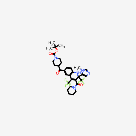 Cn1cncc1C1(C(F)(F)F)Nc2ccc(C(=O)C3CCN(C(=O)OC(C)(C)C)CC3)cc2C(C(F)(F)F)=C1C(=O)N1CCCCC1